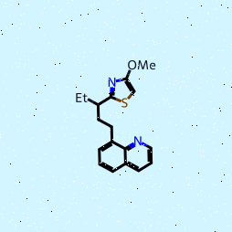 [CH2]CC(CCc1cccc2cccnc12)c1nc(OC)cs1